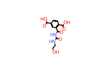 O=C(NCCO)NC(=O)c1cc(C(=O)O)ccc1C(=O)O